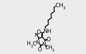 CCCCCCCCNc1onc2c1c(=O)n(C)c(=O)n2C